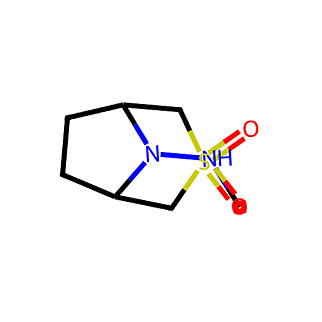 CNN1C2CCC1CS(=O)(=O)C2